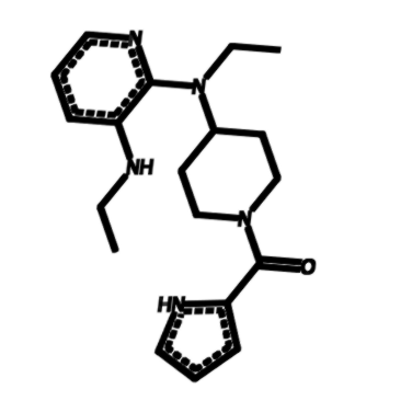 CCNc1cccnc1N(CC)C1CCN(C(=O)c2ccc[nH]2)CC1